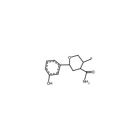 NC(=O)C1CC(c2cccc(O)c2)OCC1F